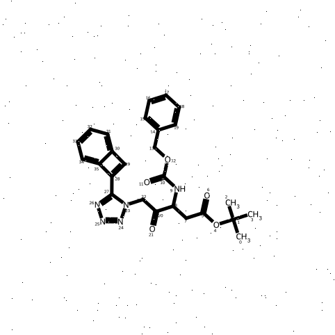 CC(C)(C)OC(=O)CC(NC(=O)OCc1ccccc1)C(=O)Cn1nnnc1C1=Cc2ccccc21